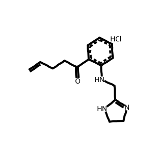 C=CCCC(=O)c1ccccc1NCC1=NCCN1.Cl